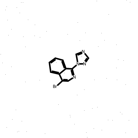 Brc1cnc(-n2cncn2)c2ccccc12